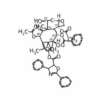 CC(=O)O[C@H]1C(=O)[C@@]2(C)C([C@H](OC(=O)c3ccccc3)[C@]3(O)CC(OC(=O)C4OC(c5ccccc5)=NC4c4ccccc4)C(C)=C1C3(C)C)[C@]1(OC(C)=O)CO[C@@H]1C[C@@H]2O